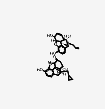 C=CCN1CC[C@]23c4c5ccc(O)c4O[C@H]2[C@@H](O)C=C[C@H]3[C@H]1C5.O=C1CC[C@@]2(O)[C@H]3Cc4ccc(O)c5c4[C@@]2(CCN3CC2CC2)[C@H]1O5